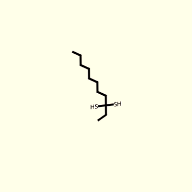 CCCCCCCCC(S)(S)CC